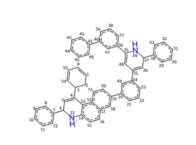 C1=CCC(C2=CC(c3ccccc3)Nc3ccc4cc(-c5cccc(C6=CC(c7ccccc7)NC(c7cccc(-c8ccccc8)c7)=C6)c5)ccc4c32)C=C1